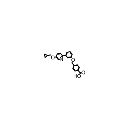 O=C(O)c1ccc(COc2cccc(-c3ccc(OCC4CC4)cn3)c2)cc1